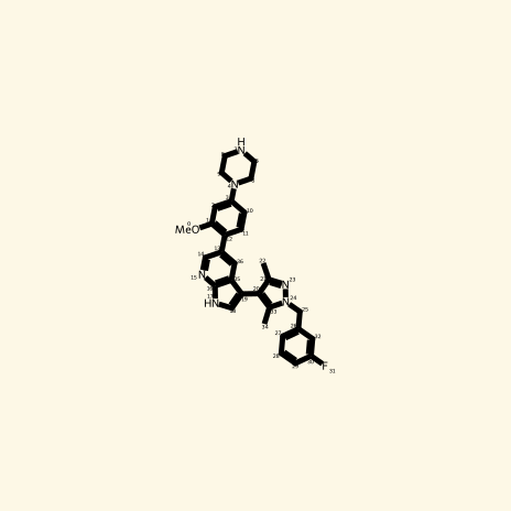 COc1cc(N2CCNCC2)ccc1-c1cnc2[nH]cc(-c3c(C)nn(Cc4cccc(F)c4)c3C)c2c1